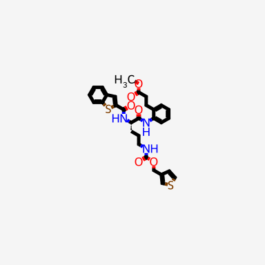 COC(=O)CCc1ccccc1NC(=O)[C@H](CCCNC(=O)OCc1ccsc1)NC(=O)c1cc2ccccc2s1